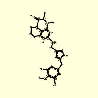 COc1c(F)cc(Cn2cc(CNc3nc4c5c(n3)N(C)C(C)C(=O)N5CCC4)cn2)cc1F